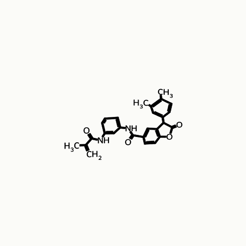 C=C(C)C(=O)Nc1cccc(NC(=O)c2ccc3c(c2)C(c2ccc(C)c(C)c2)C(=O)O3)c1